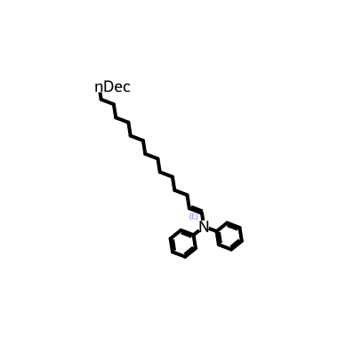 CCCCCCCCCCCCCCCCCCCCCC/C=C/N(c1ccccc1)c1ccccc1